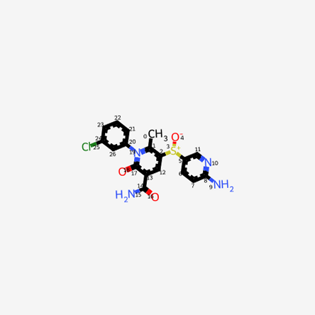 Cc1c([S+]([O-])c2ccc(N)nc2)cc(C(N)=O)c(=O)n1-c1cccc(Cl)c1